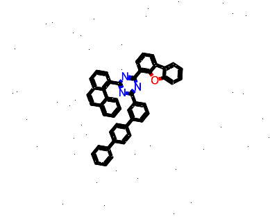 c1ccc(-c2ccc(-c3cccc(-c4nc(-c5cccc6c5oc5ccccc56)nc(-c5cccc6ccc7ccccc7c56)n4)c3)cc2)cc1